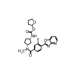 CN(C(=O)c1ccc(-c2nc3ncccc3o2)c(F)c1)[C@@H]1CC[C@H](NC(=O)O[C@H]2CCCO2)C1